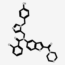 N#Cc1ccc(Cn2cncc2CN(C(=O)c2ccccc2Cl)c2ccc3sc(C(=O)N4CCSCC4)cc3c2)cc1